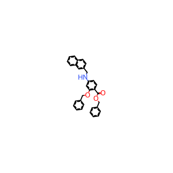 O=C(OCc1ccccc1)c1ccc(NCc2ccc3ccccc3c2)cc1OCc1ccccc1